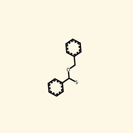 [S]C(OCc1ccccc1)c1ccccc1